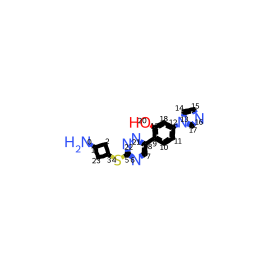 NC1CC(Sc2ncc(-c3ccc(-n4ccnc4)cc3O)nn2)C1